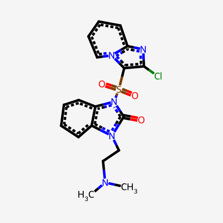 CN(C)CCn1c(=O)n(S(=O)(=O)c2c(Cl)nc3ccccn23)c2ccccc21